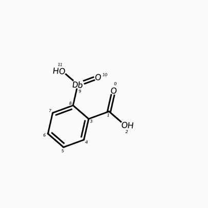 O=C(O)c1cccc[c]1[Db](=[O])[OH]